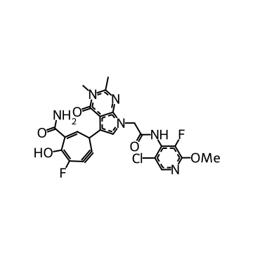 COc1ncc(Cl)c(NC(=O)Cn2cc(C3C#CC(F)=C(O)C(C(N)=O)=C3)c3c(=O)n(C)c(C)nc32)c1F